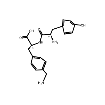 NCc1ccc(C[C@H](NC(=O)[C@H](N)Cc2ccc(O)cc2)C(=O)O)cc1